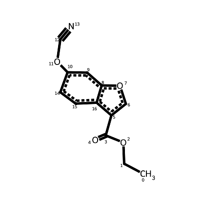 CCOC(=O)c1coc2cc(OC#N)ccc12